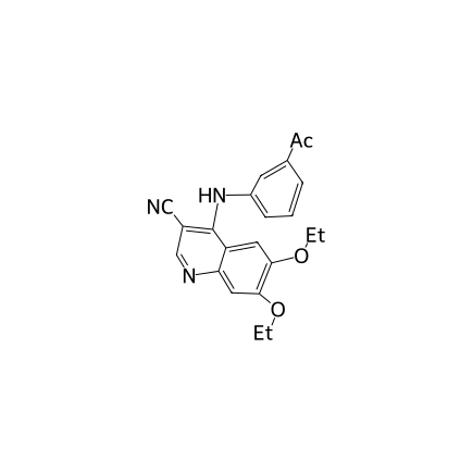 CCOc1cc2ncc(C#N)c(Nc3cccc(C(C)=O)c3)c2cc1OCC